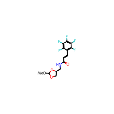 COC1OCC(CNC(=O)C=Cc2c(F)c(F)c(F)c(F)c2F)O1